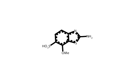 COc1c(S(=O)(=O)O)ccc2nc(N)sc12